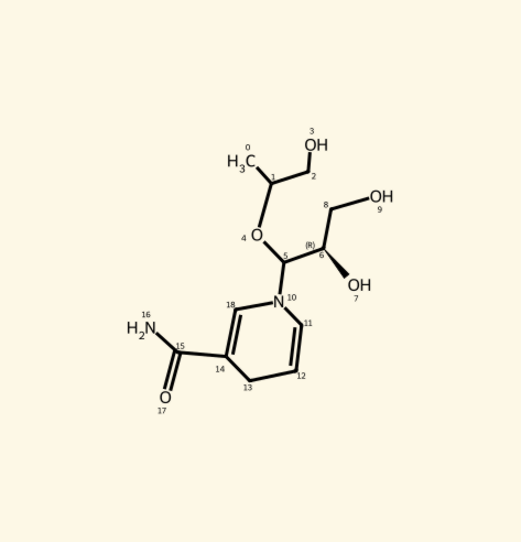 CC(CO)OC([C@H](O)CO)N1C=CCC(C(N)=O)=C1